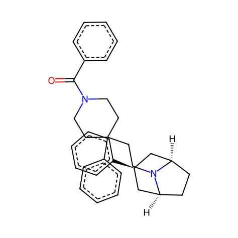 O=C(c1ccccc1)N1CCC(CCN2[C@@H]3CC[C@H]2C[C@@H](c2ccccc2)C3)(c2ccccc2)CC1